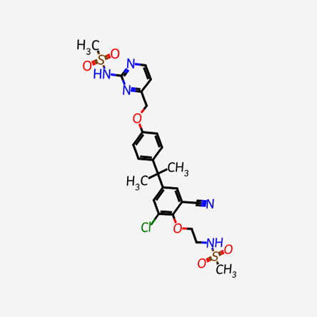 CC(C)(c1ccc(OCc2ccnc(NS(C)(=O)=O)n2)cc1)c1cc(Cl)c(OCCNS(C)(=O)=O)c(C#N)c1